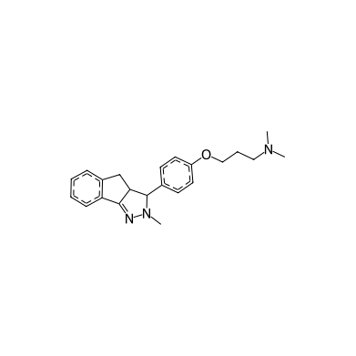 CN(C)CCCOc1ccc(C2C3Cc4ccccc4C3=NN2C)cc1